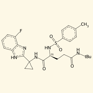 Cc1ccc(S(=O)(=O)N[C@@H](CCC(=O)NC(C)(C)C)C(=O)NC2(c3nc4c(F)cccc4[nH]3)CC2)cc1